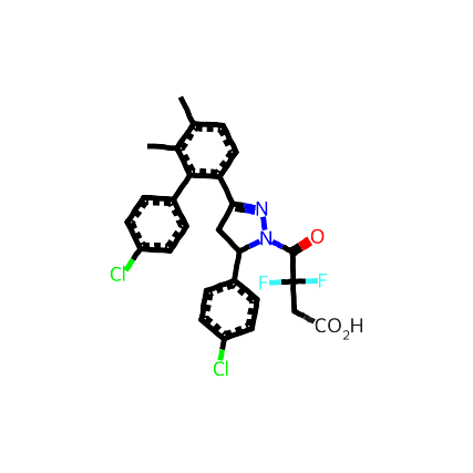 Cc1ccc(C2=NN(C(=O)C(F)(F)CC(=O)O)C(c3ccc(Cl)cc3)C2)c(-c2ccc(Cl)cc2)c1C